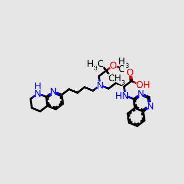 COC(C)(C)CN(CCCCc1ccc2c(n1)NCCC2)CC[C@H](Nc1ncnc2ccccc12)C(=O)O